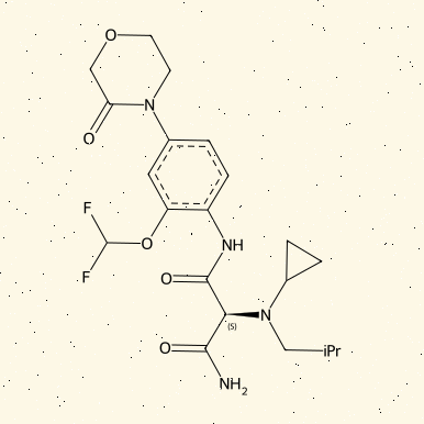 CC(C)CN(C1CC1)[C@@H](C(N)=O)C(=O)Nc1ccc(N2CCOCC2=O)cc1OC(F)F